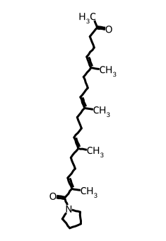 CC(=O)CC/C=C(\C)CC/C=C(\C)CC/C=C(\C)CC/C=C(\C)C(=O)N1CCCC1